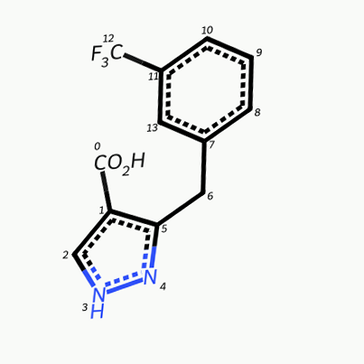 O=C(O)c1c[nH]nc1Cc1cccc(C(F)(F)F)c1